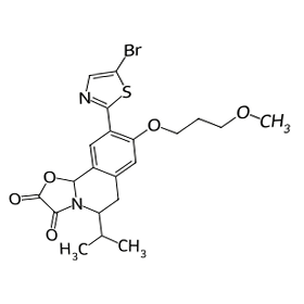 COCCCOc1cc2c(cc1-c1ncc(Br)s1)C1OC(=O)C(=O)N1C(C(C)C)C2